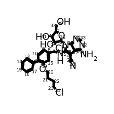 C[C@]1(O)C(n2c(NCc3ccc(-c4ccccc4)c(OCCCCCl)c3)c(C#N)c3c(N)ncnc32)OC(CO)[C@H]1O